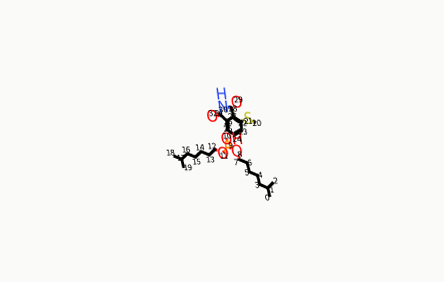 CC(C)CCCCCOP(O)OCCCCCC(C)C.CSc1cccc2c1C(=O)NC2=O